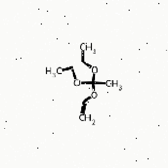 C=COC(C)(OCC)OCC